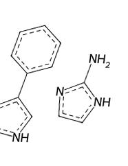 Nc1ncc[nH]1.c1ccc(-c2c[nH]nn2)cc1